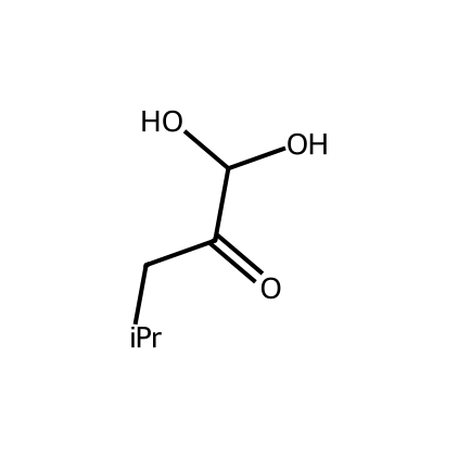 CC(C)CC(=O)C(O)O